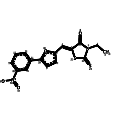 CCN1C(=O)C(=Cc2ccc(-c3cccc([N+](=O)[O-])c3)o2)SC1=S